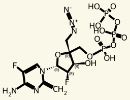 C=C1N=C(N)C(F)=CN1[C@@H]1O[C@](CN=[N+]=[N-])(COP(=O)(O)OP(=O)(O)OP(=O)(O)O)[C@@H](O)[C@H]1F